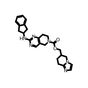 O=C(OCC1CCc2nccn2C1)N1CCc2nc(NC3Cc4ccccc4C3)ncc2C1